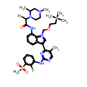 CCC(C(=O)Nc1cccc2c(-c3nc(Nc4cccc(S(C)(=O)=O)c4F)ncc3C)cn(COCC[Si](C)(C)C)c12)N1CCN(C)CC1C